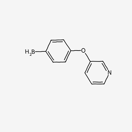 Bc1ccc(Oc2cccnc2)cc1